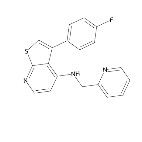 Fc1ccc(-c2csc3nccc(NCc4ccccn4)c23)cc1